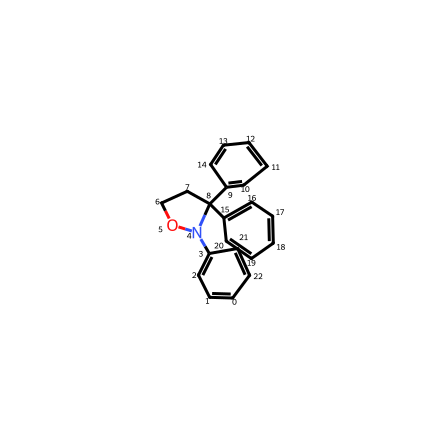 c1ccc(N2OCCC2(c2ccccc2)c2ccccc2)cc1